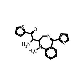 CN1c2ccccc2C(c2cccs2)=NCC1C(N)C(=O)c1cccs1